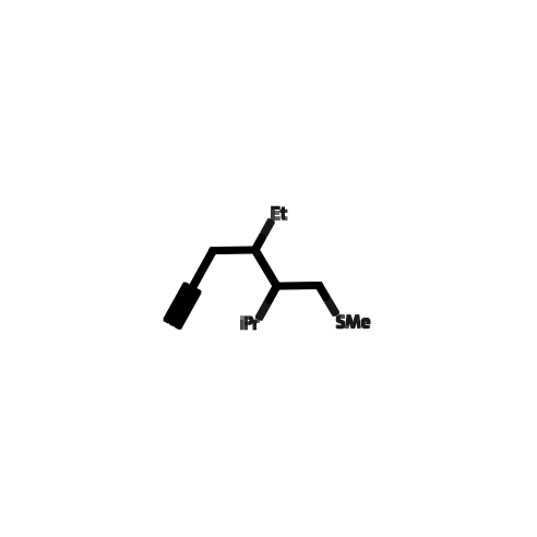 C#CCC(CC)C(CSC)C(C)C